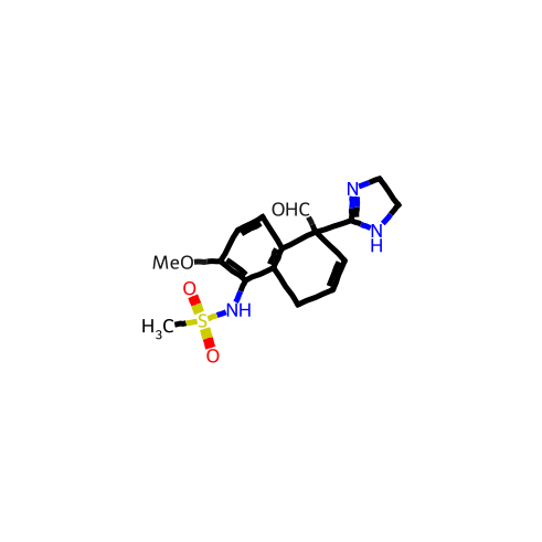 COc1ccc2c(c1NS(C)(=O)=O)CC=CC2(C=O)C1=NCCN1